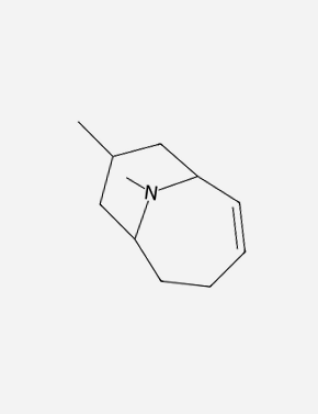 CC1CC2C=CCCC(C1)N2C